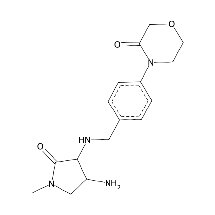 CN1CC(N)C(NCc2ccc(N3CCOCC3=O)cc2)C1=O